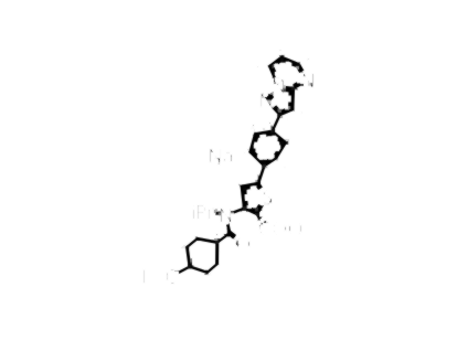 CC1CCC(C(=O)N(c2cc(-c3ccc(-c4cc5ncccn5n4)cc3)sc2C(=O)[O-])C(C)C)CC1.[Na+]